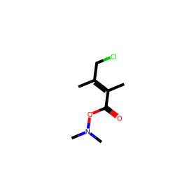 CC(CCl)=C(C)C(=O)ON(C)C